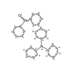 O=[PH](c1ccccc1)c1ccccc1.c1ccc(N(c2ccccc2)c2ccccc2)cc1